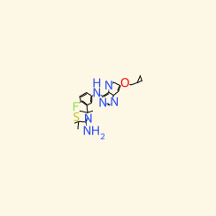 CC1(C)SCC(C)(c2cc(Nc3ncnc4cc(OCC5CC5)cnc34)ccc2F)N=C1N